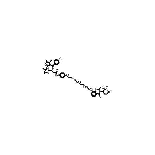 Cc1sc2c(c1C)C(c1ccc(Cl)cc1)=N[C@@H](CC(=O)Nc1ccc(OCCOCCOCCOCCOc3cccc4c(=O)n(C5CCC(=O)NC5=O)c(C)nc34)cc1)c1nnc(C)n1-2